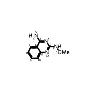 CONc1nc(N)c2ccccc2n1